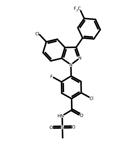 CS(=O)(=O)NC(=O)c1cc(F)c(-n2nc(-c3cccc(C(F)(F)F)c3)c3cc(Cl)ccc32)cc1Cl